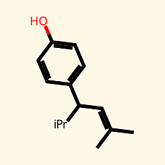 CC(C)=CC(c1ccc(O)cc1)C(C)C